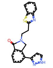 O=C1c2cccc(-c3cc[nH]n3)c2CN1CCc1nc2ccccc2s1